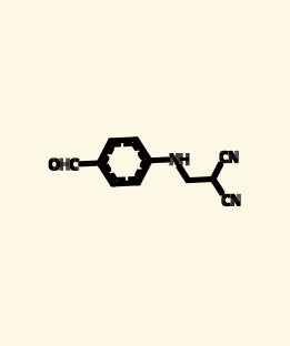 N#CC(C#N)CNc1ccc(C=O)cc1